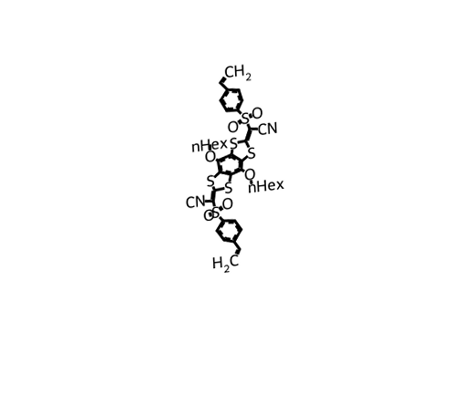 [C-]#[N+]C(=C1Sc2c(OCCCCCC)c3c(c(OCCCCCC)c2S1)SC(=C(C#N)S(=O)(=O)c1ccc(C=C)cc1)S3)S(=O)(=O)c1ccc(C=C)cc1